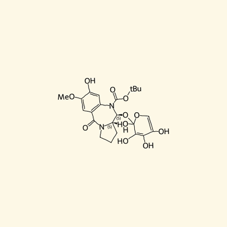 COc1cc2c(cc1O)N(C(=O)OC(C)(C)C)[C@@H](OC1(O)OC=C(O)C(O)=C1O)[C@@H]1CCCN1C2=O